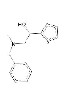 CN(Cc1ccccc1)C[C@H](O)c1cccs1